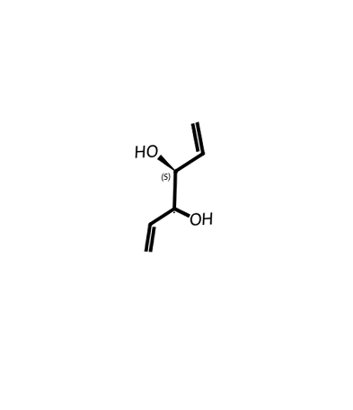 C=C[C](O)[C@@H](O)C=C